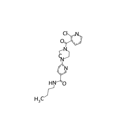 CCCCNC(=O)c1ccc(N2CCN(C(=O)c3cccnc3Cl)CC2)nc1